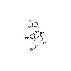 COC1C[C@H](N(C)C(=O)Cc2ccc(Cl)c(Cl)c2)C[C@]2(c3cccc(O)c3)CCN(CC3CC3)C[C@@H]12